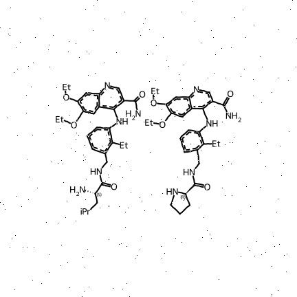 CCOc1cc2ncc(C(N)=O)c(Nc3cccc(CNC(=O)[C@@H](N)CC(C)C)c3CC)c2cc1OCC.CCOc1cc2ncc(C(N)=O)c(Nc3cccc(CNC(=O)[C@H]4CCCN4)c3CC)c2cc1OCC